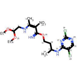 CCOC(CN/C(C)=C(\C(=N)OCCC(C)Nc1nc(Cl)ncc1Cl)[N+](=O)[O-])OCC